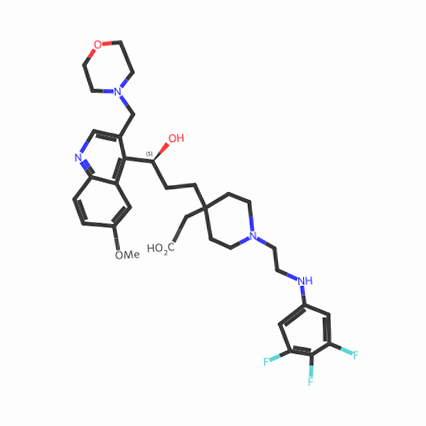 COc1ccc2ncc(CN3CCOCC3)c([C@@H](O)CCC3(CC(=O)O)CCN(CCNc4cc(F)c(F)c(F)c4)CC3)c2c1